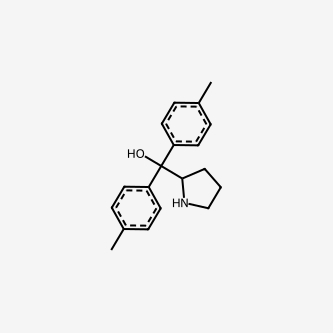 Cc1ccc(C(O)(c2ccc(C)cc2)C2CCCN2)cc1